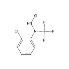 FC(F)(F)N(NCl)c1ccccc1Cl